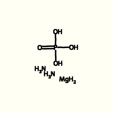 N.N.O=P(O)(O)O.[MgH2]